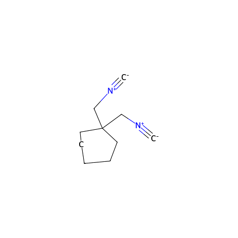 [C-]#[N+]CC1(C[N+]#[C-])CCCCC1